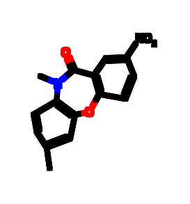 Cc1ccc2c(c1)Oc1ccc([N+](=O)[O-])cc1C(=O)N2C